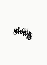 Cn1cc(F)c(-c2ccc(-c3ncc(N(C4CC4)[C@H]4C[C@]5(C)CCC[C@@](C)(N5)[C@H]4F)nn3)c(O)c2)nc1=O